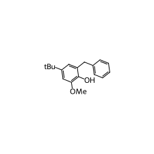 COc1cc(C(C)(C)C)cc(Cc2ccccc2)c1O